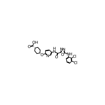 O=C(Nc1ccc(O[C@H]2CC[C@@H](C(=O)O)CC2)nc1)c1nnc(Nc2cccc(Cl)c2Cl)o1